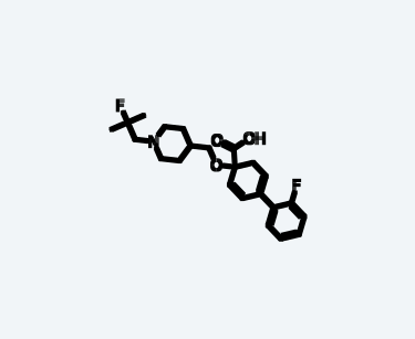 CC(C)(F)CN1CCC(COC2(C(=O)O)C=CC(c3ccccc3F)=CC2)CC1